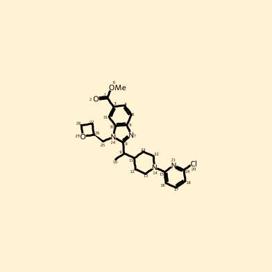 COC(=O)c1ccc2nc(C(C)C3CCN(c4cccc(Cl)n4)CC3)n(C[C@@H]3CCO3)c2c1